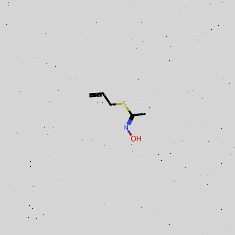 C=CCSC(C)=NO